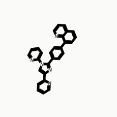 c1ccc(-c2cn(-c3ccccn3)c(-c3ccc(-c4cccc5cccnc45)cc3)n2)nc1